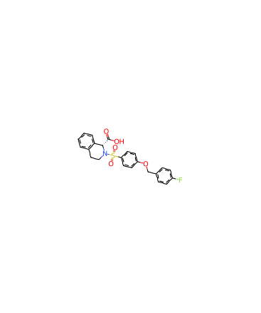 O=C(O)[C@H]1c2ccccc2CCN1S(=O)(=O)c1ccc(OCc2ccc(F)cc2)cc1